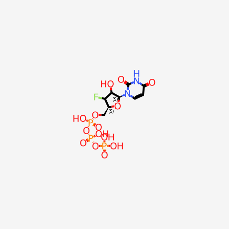 O=c1ccn([C@H]2O[C@@H](COP(=O)(O)OP(=O)(O)OP(=O)(O)O)C(F)C2O)c(=O)[nH]1